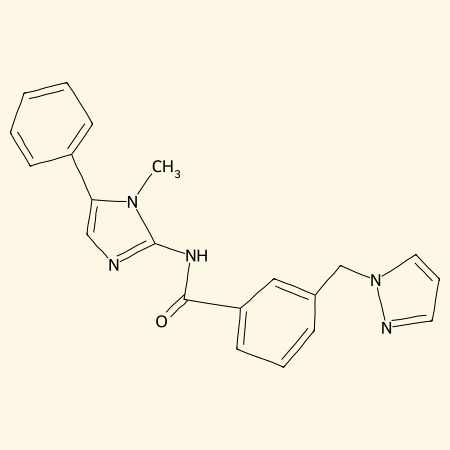 Cn1c(-c2ccccc2)cnc1NC(=O)c1cccc(Cn2cccn2)c1